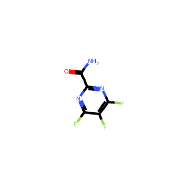 NC(=O)c1nc(F)c(F)c(F)n1